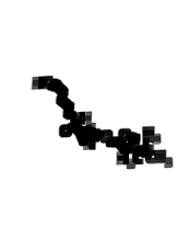 C#CCCCCNC(=O)c1cnc(O/C=C2/CN(C(C)(C)C)CO2)s1